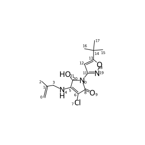 C=C(C)CNC1=C(Cl)C(=O)N(c2cc(C(C)(C)C)on2)C1O